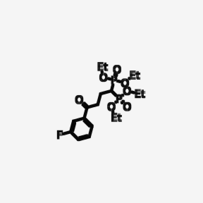 CCOP(=O)(OCC)C(CCC(=O)c1cccc(F)c1)P(=O)(OCC)OCC